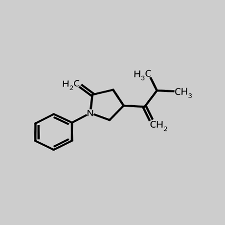 C=C(C(C)C)C1CC(=C)N(c2ccccc2)C1